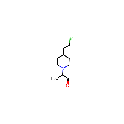 CC(C=O)N1CCC(CCBr)CC1